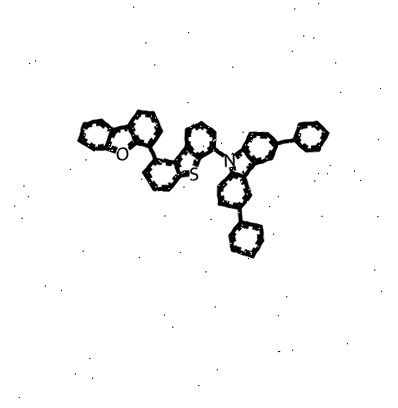 c1ccc(-c2ccc3c(c2)c2cc(-c4ccccc4)ccc2n3-c2cccc3c2sc2cccc(-c4cccc5c4oc4ccccc45)c23)cc1